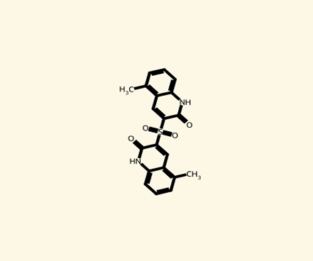 Cc1cccc2[nH]c(=O)c(S(=O)(=O)c3cc4c(C)cccc4[nH]c3=O)cc12